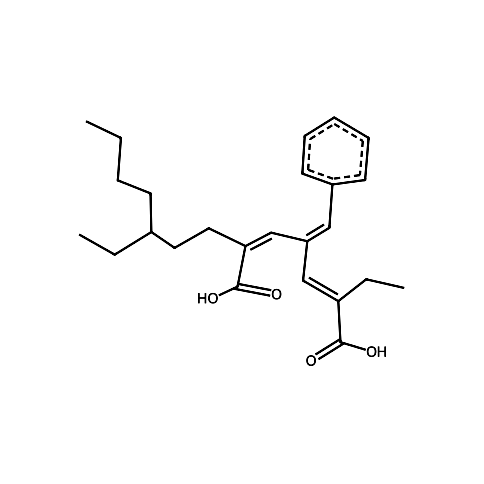 CCCCC(CC)CCC(=CC(=Cc1ccccc1)C=C(CC)C(=O)O)C(=O)O